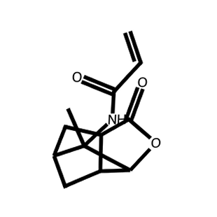 C=CC(=O)NC1(C)C2CC3C(=O)OC1C3C2